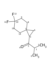 CC(C)C(=O)C1CC12CCC(F)(F)CC2